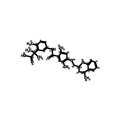 Cc1cc(C(=O)Nc2ccc(C)c(C(C)(C)C(=O)O)c2)c(C)cc1OC[C@@H]1CN(C)c2ccccc2O1